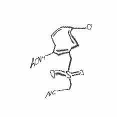 CC(=O)Nc1ccc(Cl)cc1S(=O)(=O)CC#N